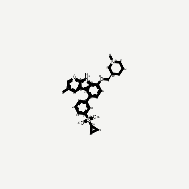 Cc1cnc2[nH]c3c(OC[C@@H]4CCCN(C)C4)ccc(-c4cccc(S(=O)(=O)C5CC5)c4)c3c2c1